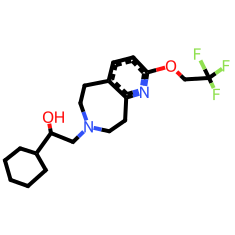 OC(CN1CCc2ccc(OCC(F)(F)F)nc2CC1)C1CCCCC1